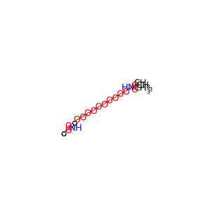 CC(C)(C)OC(=O)NCCOCCOCCOCCOCCOCCOCCOCCOCCOCCOc1ccc(NC(=O)OCc2ccccc2)cc1